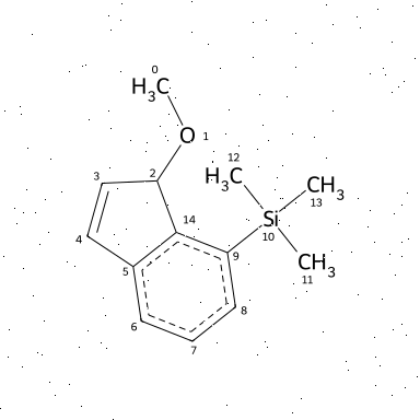 COC1C=Cc2cccc([Si](C)(C)C)c21